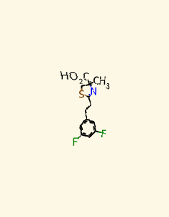 C[C@@]1(C(=O)O)CSC(CCc2cc(F)cc(F)c2)=N1